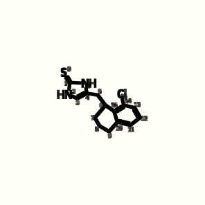 S=c1[nH]cc(CC2CCCc3cccc(Cl)c32)[nH]1